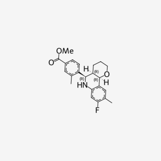 COC(=O)c1ccc([C@@H]2Nc3cc(F)c(C)cc3[C@@H]3OCCC[C@H]23)c(C)c1